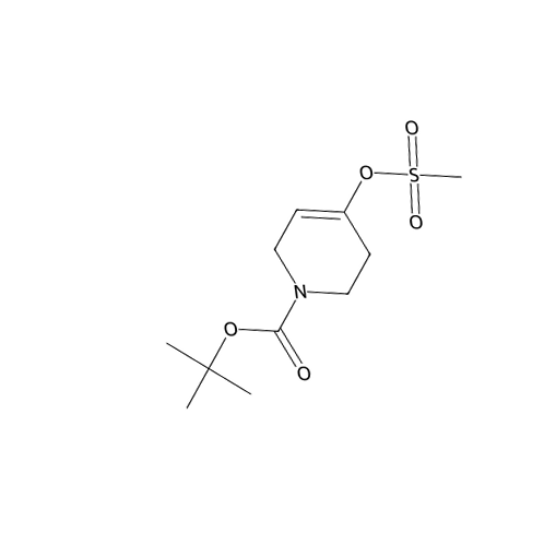 CC(C)(C)OC(=O)N1CC=C(OS(C)(=O)=O)CC1